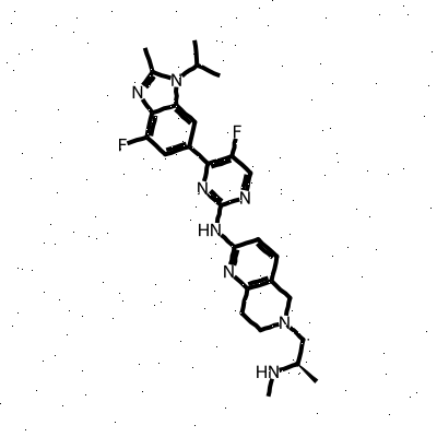 CN[C@H](C)[CH]N1CCc2nc(Nc3ncc(F)c(-c4cc(F)c5nc(C)n(C(C)C)c5c4)n3)ccc2C1